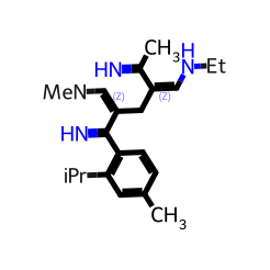 CCN/C=C(/C/C(=C/NC)C(=N)c1ccc(C)cc1C(C)C)C(C)=N